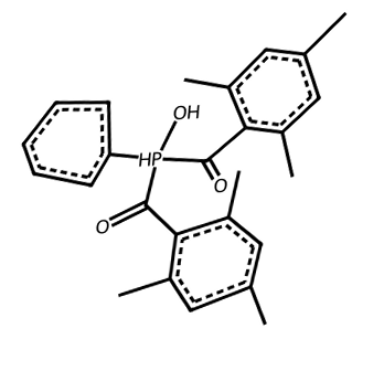 Cc1cc(C)c(C(=O)[PH](O)(C(=O)c2c(C)cc(C)cc2C)c2ccccc2)c(C)c1